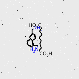 NCc1ccc2c(CN)cccc2c1.O=C(O)CCCCCCCCC(=O)O